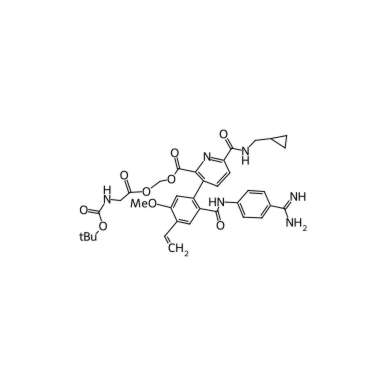 C=Cc1cc(C(=O)Nc2ccc(C(=N)N)cc2)c(-c2ccc(C(=O)NCC3CC3)nc2C(=O)OCOC(=O)CNC(=O)OC(C)(C)C)cc1OC